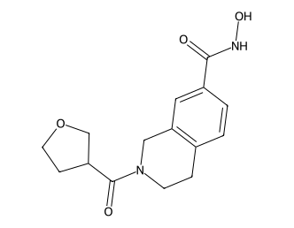 O=C(NO)c1ccc2c(c1)CN(C(=O)C1CCOC1)CC2